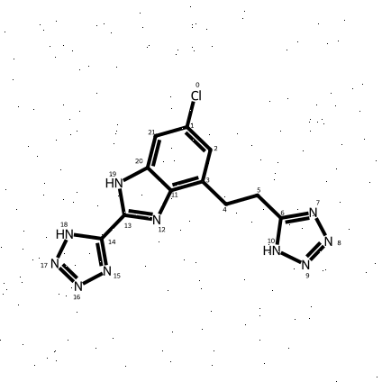 Clc1cc(CCc2nnn[nH]2)c2nc(-c3nnn[nH]3)[nH]c2c1